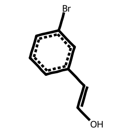 OC=Cc1cccc(Br)c1